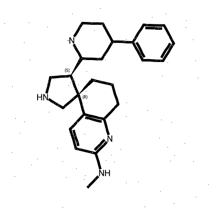 CNc1ccc2c(n1)CCC[C@]21CNC[C@H]1C1CC(c2ccccc2)CC[N]1